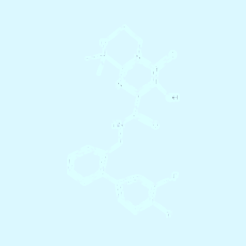 CC1(C)OCCn2c1nc(C(=O)NCc1ccccc1-c1ccc(F)c(F)c1)c(O)c2=O